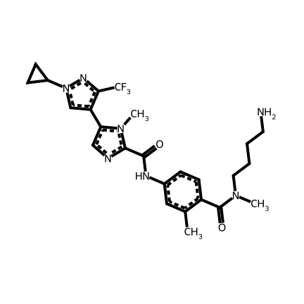 Cc1cc(NC(=O)c2ncc(-c3cn(C4CC4)nc3C(F)(F)F)n2C)ccc1C(=O)N(C)CCCCN